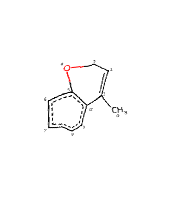 CC1=CCOc2ccccc21